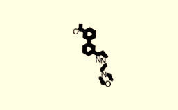 CC(=O)c1cccc(-c2cccc(-c3ccn(CCN4CCOCC4)n3)c2)c1